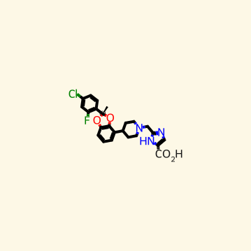 C[C@]1(c2ccc(Cl)cc2F)Oc2cccc(C3CCN(Cc4ncc(C(=O)O)[nH]4)CC3)c2O1